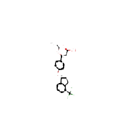 CCO[C@@H](CC(=O)O)c1ccc(O[C@@H]2CCc3c2cccc3C(F)(F)F)cc1